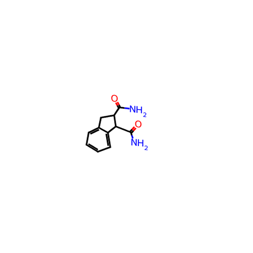 NC(=O)C1Cc2ccccc2C1C(N)=O